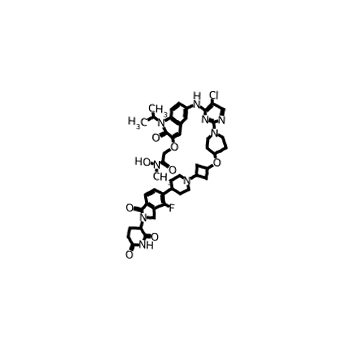 CC(C)n1c(=O)c(OCC(=O)N(C)O)cc2cc(Nc3nc(N4CCC(OC5CC(N6CCC(c7ccc8c(c7F)CN(C7CCC(=O)NC7=O)C8=O)CC6)C5)CC4)ncc3Cl)ccc21